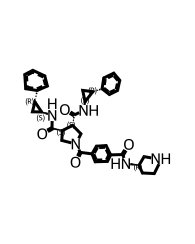 O=C(N[C@@H]1CCCNC1)c1ccc(C(=O)N2C[C@@H](C(=O)N[C@H]3C[C@@H]3c3ccccc3)[C@H](C(=O)N[C@H]3C[C@@H]3c3ccccc3)C2)cc1